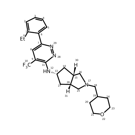 CCc1ccccc1-c1cc(C(F)(F)F)c(N[C@@H]2C[C@@H]3CN(CC4CCOCC4)C[C@@H]3C2)nn1